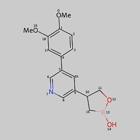 COc1ccc(-c2cncc(C3COB(O)C3)c2)cc1OC